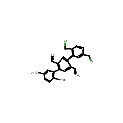 C=Cc1cc(-c2cc(CCl)ccc2CCl)c(C=C)cc1-c1cc(C=O)ccc1C=O